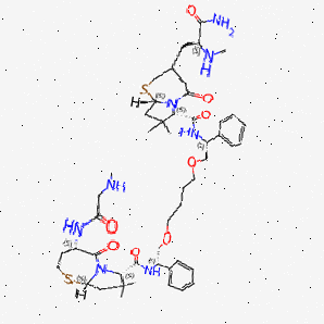 CNCC(=O)N[C@H]1CCS[C@H]2CC(C)(C)[C@@H](C(=O)N[C@H](COCCCCOC[C@@H](NC(=O)[C@H]3N4C(=O)CC(C[C@H](NC)C(N)=O)CS[C@H]4CC3(C)C)c3ccccc3)c3ccccc3)N2C1=O